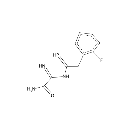 N=C(NC(=P)Cc1ccccc1F)C(N)=O